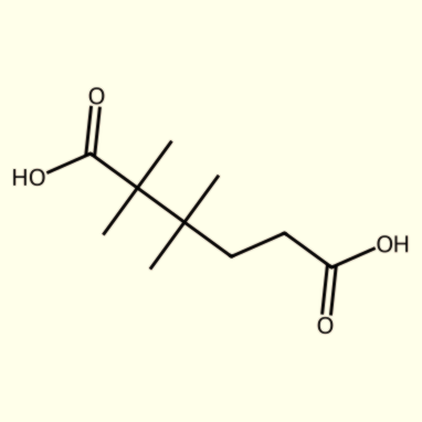 CC(C)(CCC(=O)O)C(C)(C)C(=O)O